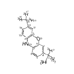 [2H]C([2H])([2H])c1ccc2c(c1)Oc1cc(C([2H])([2H])[2H])ccc1N2